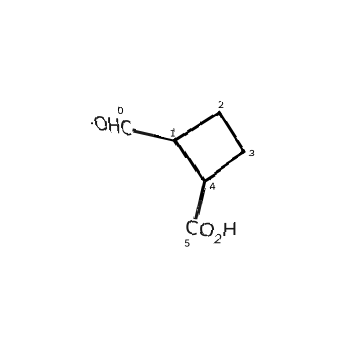 O=[C]C1CCC1C(=O)O